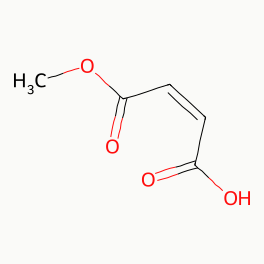 COC(=O)/C=C\C(=O)O